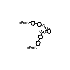 CCCCCC1CCC(C2CCC(OCOC3(COC(=O)C4CCC(C5CCC(CCCCC)CC5)CC4)CCCCC3)CC2)CC1